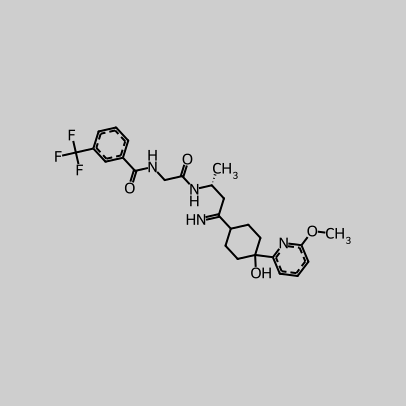 COc1cccc(C2(O)CCC(C(=N)C[C@@H](C)NC(=O)CNC(=O)c3cccc(C(F)(F)F)c3)CC2)n1